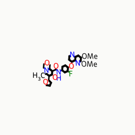 COc1cc2nccc(Oc3ccc(NC(=O)c4c5n(c(C)c(-c6ccco6)c4=O)CCOC5)cc3F)c2nc1OC